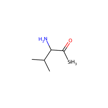 CC(C)C(N)C(=O)[SiH3]